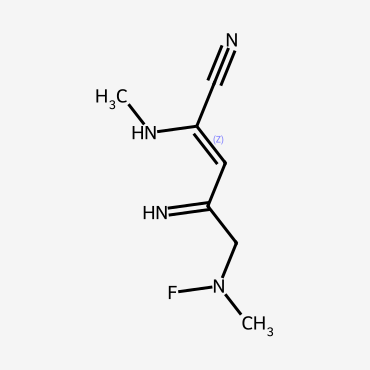 CN/C(C#N)=C\C(=N)CN(C)F